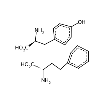 N[C@@H](CCc1ccccc1)C(=O)O.N[C@@H](Cc1ccc(O)cc1)C(=O)O